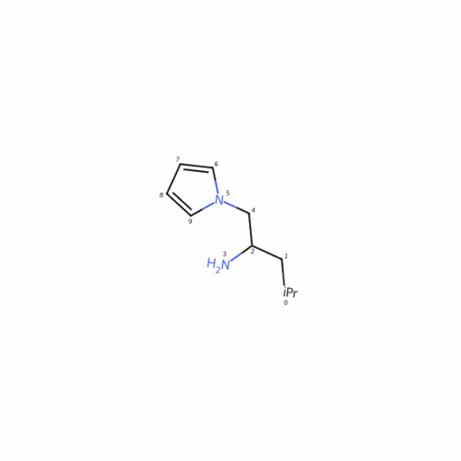 CC(C)CC(N)Cn1cccc1